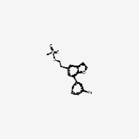 CCc1cccc(-c2cc(CCOS(C)(=O)=O)cc3ccoc23)c1